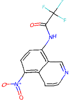 O=C(Nc1ccc([N+](=O)[O-])c2ccncc12)C(F)(F)F